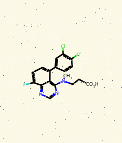 CN(CCC(=O)O)c1ncnc2c(F)ccc(-c3ccc(Cl)c(Cl)c3)c12